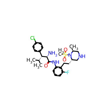 CC(C)[C@H](c1ccc(Cl)cc1)[C@H](N)C(=O)Nc1cccc(F)c1CC[C@H]1CNC[C@H](C)N1S(C)(=O)=O